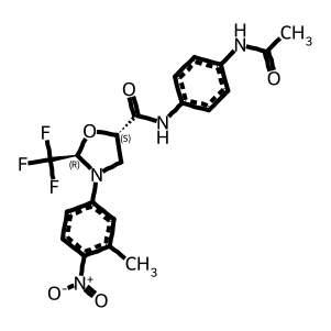 CC(=O)Nc1ccc(NC(=O)[C@@H]2CN(c3ccc([N+](=O)[O-])c(C)c3)[C@@H](C(F)(F)F)O2)cc1